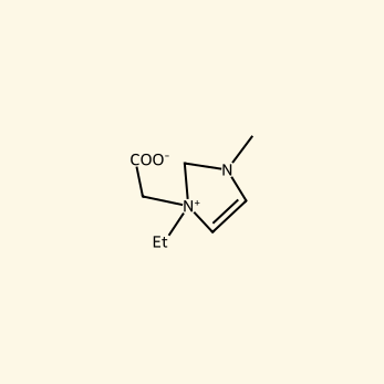 CC[N+]1(CC(=O)[O-])C=CN(C)C1